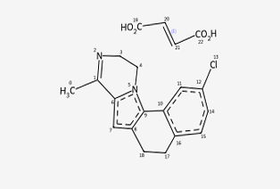 CC1=NCCn2c1cc1c2-c2cc(Cl)ccc2CC1.O=C(O)/C=C/C(=O)O